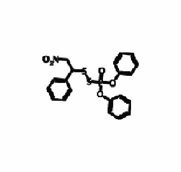 O=[N+]([O-])CC(SSP(=O)(Oc1ccccc1)Oc1ccccc1)c1ccccc1